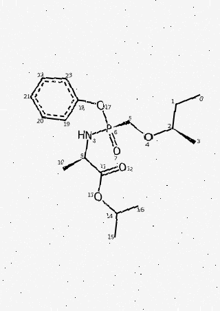 CC[C@@H](C)OC[P@@](=O)(N[C@H](C)C(=O)OC(C)C)Oc1ccccc1